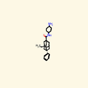 CC[C@]12CC3CC(C(=O)NC4CCC(N)CC4)(C1)C[C@@](c1ccccc1)(C3)C2